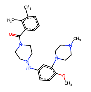 COc1ccc(NN2CCN(C(=O)c3cccc(C)c3C)CC2)cc1N1CCN(C)CC1